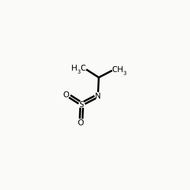 CC(C)N=S(=O)=O